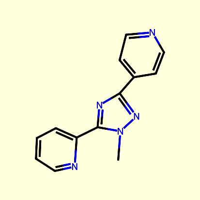 Cn1nc(-c2ccncc2)nc1-c1ccccn1